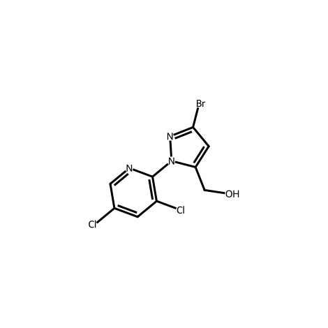 OCc1cc(Br)nn1-c1ncc(Cl)cc1Cl